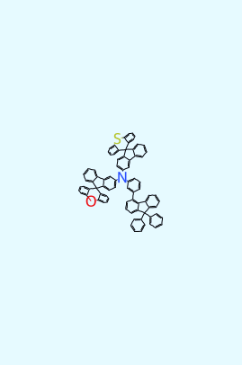 c1ccc(C2(c3ccccc3)c3ccccc3-c3c(-c4cccc(N(c5ccc6c(c5)-c5ccccc5C65c6ccccc6Oc6ccccc65)c5ccc6c(c5)-c5ccccc5C65c6ccccc6Sc6ccccc65)c4)cccc32)cc1